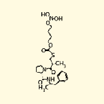 C[C@H](CSC(=O)OCCCCON(O)O)C(=O)N1CCC[C@H]1C(=O)N[C@@H](C)Cc1ccccc1